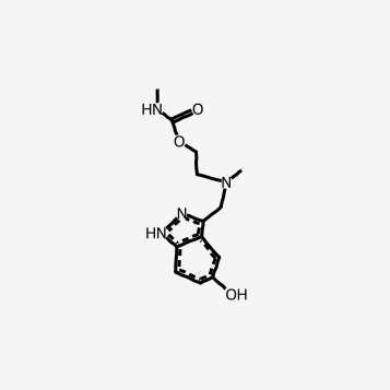 CNC(=O)OCCN(C)Cc1n[nH]c2ccc(O)cc12